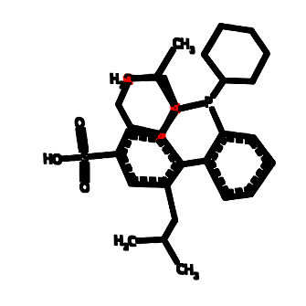 CC(C)Cc1cc(S(=O)(=O)O)cc(CC(C)C)c1-c1ccccc1P(C1CCCCC1)C1CCCCC1